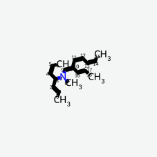 CC=CC(/C=C\C)N(C)/C=C(/C=C\C=C/C)\C=C\C